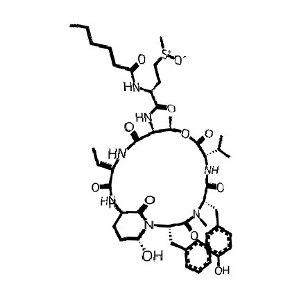 C/C=C1\NC(=O)[C@@H](NC(=O)[C@H](CC[S+](C)[O-])NC(=O)CCCCC)[C@@H](C)OC(=O)[C@H](C(C)C)NC(=O)[C@H](Cc2ccc(O)cc2)N(C)C(=O)[C@H](Cc2ccccc2)N2C(=O)[C@H](CC[C@H]2O)NC1=O